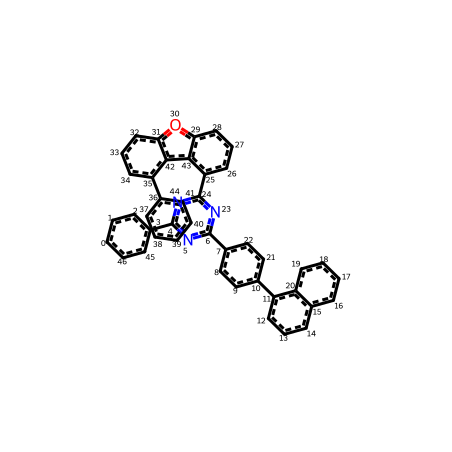 c1ccc(-c2nc(-c3ccc(-c4cccc5ccccc45)cc3)nc(-c3cccc4oc5cccc(-c6ccccc6)c5c34)n2)cc1